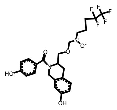 O=C(c1ccc(O)cc1)N1Cc2cc(O)ccc2CC1COC[S+]([O-])CCCC(F)(F)C(F)(F)F